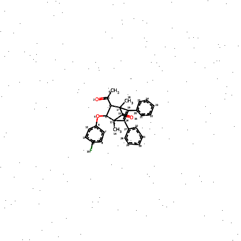 CC(=O)C1C(Oc2ccc(F)cc2)C2(C)C(=O)C1(C)C(c1ccccc1)=C2c1ccccc1